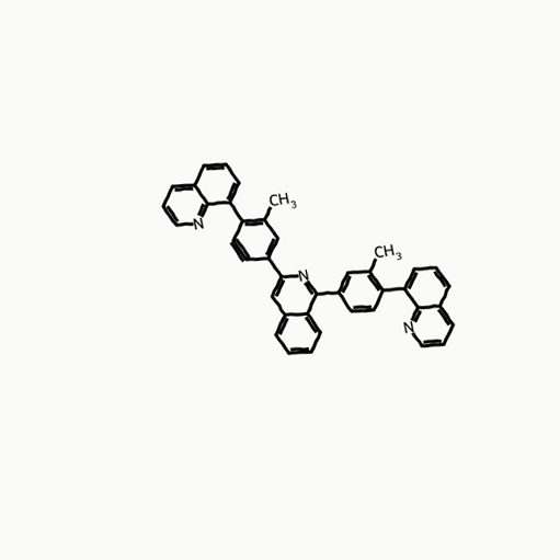 Cc1cc(-c2cc3ccccc3c(-c3ccc(-c4cccc5cccnc45)c(C)c3)n2)c#cc1-c1cccc2cccnc12